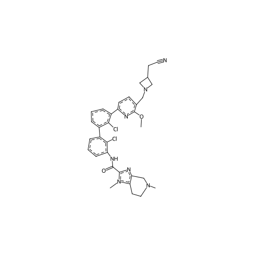 COc1nc(-c2cccc(-c3cccc(NC(=O)c4nc5c(n4C)CCN(C)C5)c3Cl)c2Cl)ccc1CN1CC(CC#N)C1